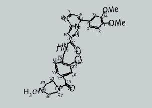 COc1ccc(-c2ccnc3cc(C(=O)Nc4ccc(C(=O)N5CCN(C)CC5)cc4Cl)nn23)cc1OC